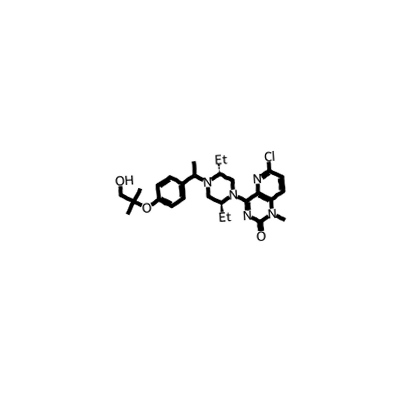 CC[C@H]1CN(C(C)c2ccc(OC(C)(C)CO)cc2)[C@H](CC)CN1c1nc(=O)n(C)c2ccc(Cl)nc12